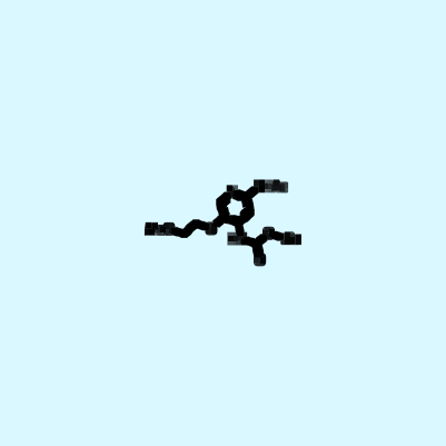 COCCOc1cnc(NC(C)=O)cc1NC(=O)OC(C)(C)C